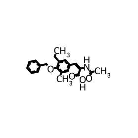 CCc1cc(/C=C(/NC(C)=O)C(=O)O)cc(C)c1OCc1ccccc1